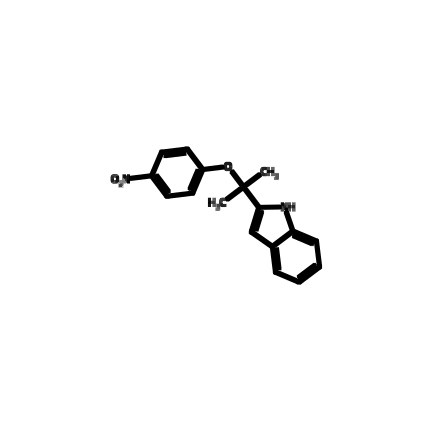 CC(C)(Oc1ccc([N+](=O)[O-])cc1)c1cc2ccccc2[nH]1